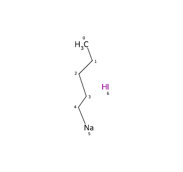 CCCC[CH2][Na].I